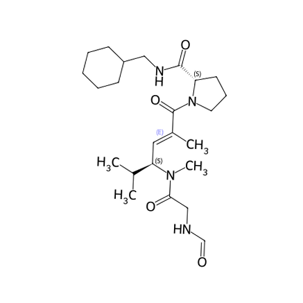 C/C(=C\[C@H](C(C)C)N(C)C(=O)CNC=O)C(=O)N1CCC[C@H]1C(=O)NCC1CCCCC1